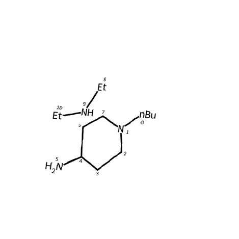 CCCCN1CCC(N)CC1.CCNCC